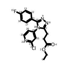 CCOC(=O)CCc1nnc(-c2ccc(F)cc2)n1-c1ccnc(Cl)c1